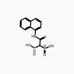 O=[PH](O)C(C(=S)Nc1cccc2ccccc12)[PH](=O)O